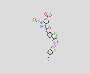 COCCNc1cc(C(=O)OC)ccc1NC(=O)Cc1ccc(-c2nc(OCc3ccc(C#N)cc3F)ccc2F)c(F)c1